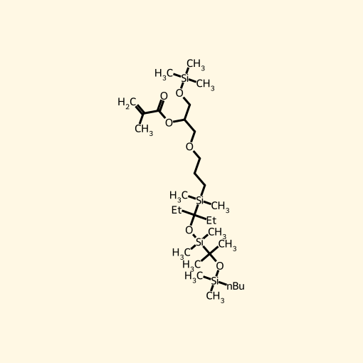 C=C(C)C(=O)OC(COCCC[Si](C)(C)C(CC)(CC)O[Si](C)(C)C(C)(C)O[Si](C)(C)CCCC)CO[Si](C)(C)C